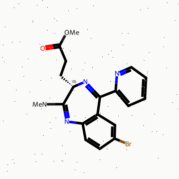 CNC1=Nc2ccc(Br)cc2C(c2ccccn2)=N[C@H]1CCC(=O)OC